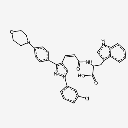 O=C(/C=C\c1cn(-c2cccc(Cl)c2)nc1-c1ccc(N2CCOCC2)cc1)NC(Cc1c[nH]c2ccccc12)C(=O)O